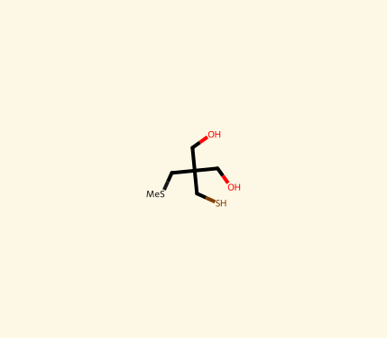 CSCC(CO)(CO)CS